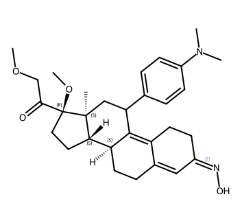 COCC(=O)[C@@]1(OC)CC[C@H]2[C@@H]3CCC4=C/C(=N\O)CCC4=C3C(c3ccc(N(C)C)cc3)C[C@@]21C